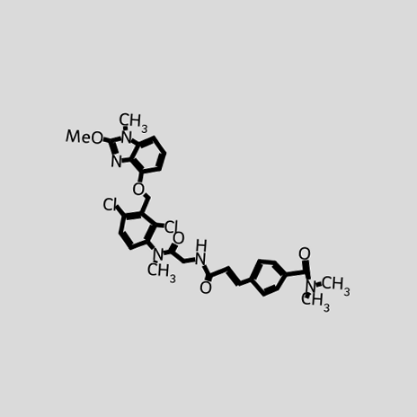 COc1nc2c(OCc3c(Cl)ccc(N(C)C(=O)CNC(=O)C=Cc4ccc(C(=O)N(C)C)cc4)c3Cl)cccc2n1C